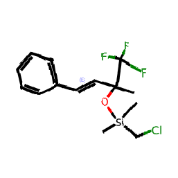 CC(/C=C/c1ccccc1)(O[Si](C)(C)CCl)C(F)(F)F